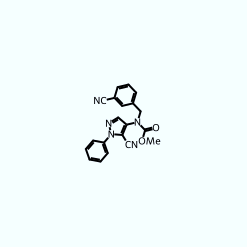 COC(=O)N(Cc1cccc(C#N)c1)c1cnn(-c2ccccc2)c1C#N